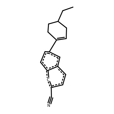 CCC1CC=C(c2ccc3cc(C#N)ccc3c2)CC1